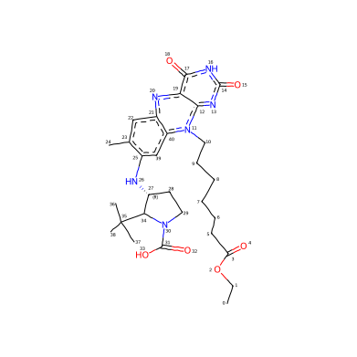 CCOC(=O)CCCCCCn1c2nc(=O)[nH]c(=O)c-2nc2cc(C)c(N[C@@H]3CCN(C(=O)O)C3C(C)(C)C)cc21